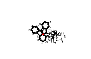 C[Si](C)(C)[SiH2][Zr]([CH3])([Cl])([Cl])([c]1cccc2c1Cc1ccccc1-2)[CH]1C=Cc2ccccc21